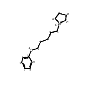 c1ccc(OCCCCCN2CCCC2)cc1